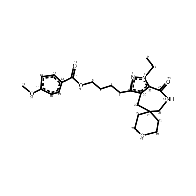 CCn1nc(CCCCOC(=O)c2ccc(OC)cc2)c2c1C(=O)NCC1(CCOCC1)C2